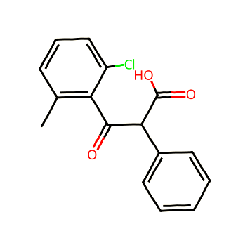 Cc1cccc(Cl)c1C(=O)C(C(=O)O)c1ccccc1